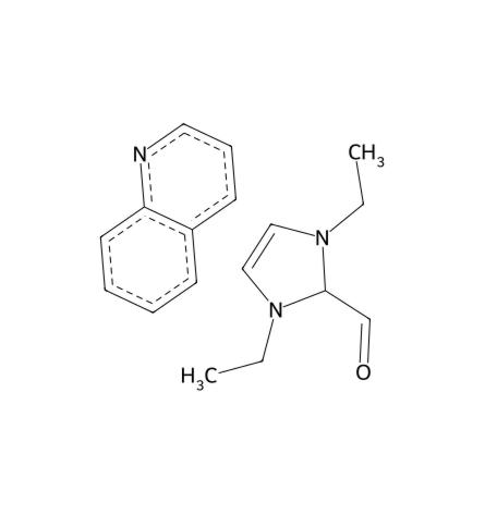 CCN1C=CN(CC)C1C=O.c1ccc2ncccc2c1